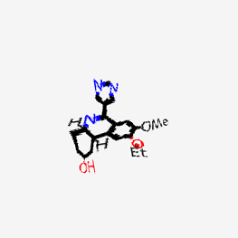 CCOc1cc2c(cc1OC)C(c1cncnc1)=N[C@@H]1CC[C@@H](O)C[C@H]21